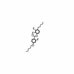 CCCCCOc1ccc(C(=O)Oc2ccc(CCCCC)c(F)c2F)c(F)c1